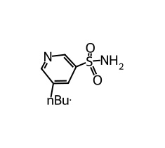 CCC[CH]c1cncc(S(N)(=O)=O)c1